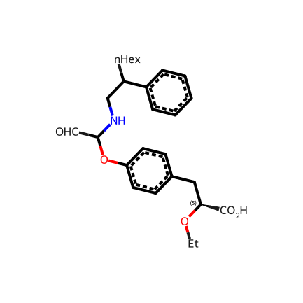 CCCCCCC(CNC(C=O)Oc1ccc(C[C@H](OCC)C(=O)O)cc1)c1ccccc1